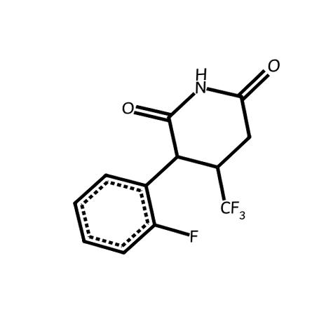 O=C1CC(C(F)(F)F)C(c2ccccc2F)C(=O)N1